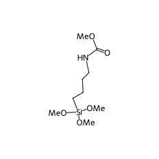 COC(=O)NCCCC[Si](OC)(OC)OC